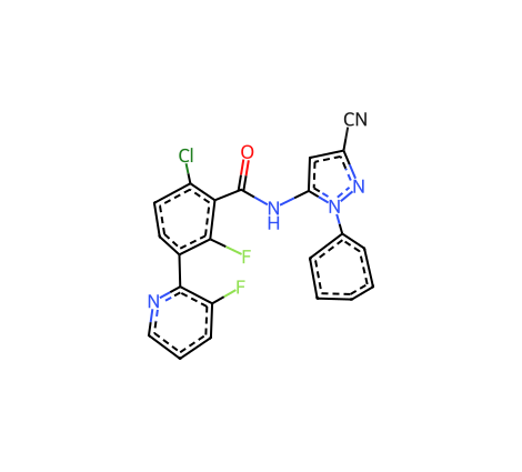 N#Cc1cc(NC(=O)c2c(Cl)ccc(-c3ncccc3F)c2F)n(-c2ccccc2)n1